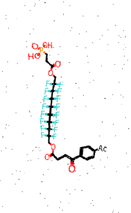 CC(=O)c1ccc(C(=O)CCC(=O)OCC(F)(F)C(F)(F)C(F)(F)C(F)(F)C(F)(F)C(F)(F)C(F)(F)C(F)(F)COC(=O)CCP(=O)(O)O)cc1